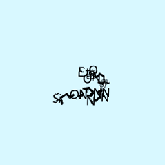 CCS(=O)(=O)N1CC[C@@H](C)[C@H](c2nnc3cnc4c(ccn4COCC[Si](C)(C)C)n23)C1